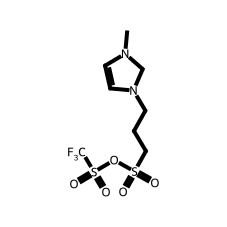 CN1C=CN(CCCS(=O)(=O)OS(=O)(=O)C(F)(F)F)C1